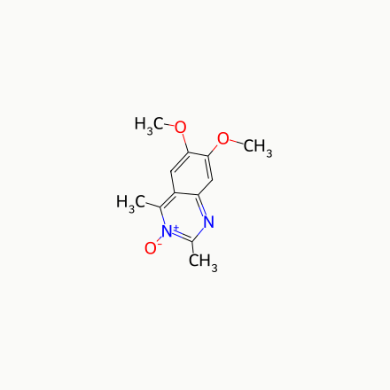 COc1cc2nc(C)[n+]([O-])c(C)c2cc1OC